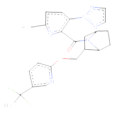 Cc1ccc(-n2nccn2)c(C(=O)N2C3CCC2C(COc2ccc(C(C)(F)F)cn2)C3)n1